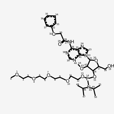 COCCOCCOCCOCCOP(OC1C(CO)OC(n2cnc3c(NC(=O)COc4ccccc4)ncnc32)C1OC)N(C(C)C)C(C)C